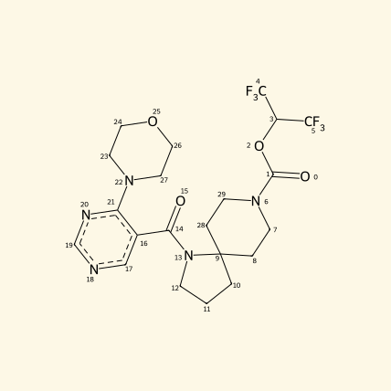 O=C(OC(C(F)(F)F)C(F)(F)F)N1CCC2(CCCN2C(=O)c2cncnc2N2CCOCC2)CC1